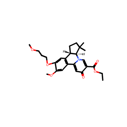 CCOC(=O)c1cn2c(cc1=O)-c1cc(OC)c(OCCCOC)cc1[C@@H]1CCC(C)(C)[C@H]12